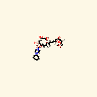 CC[C@@H](OC(C)=O)[C@@H](C)[C@H]1O[C@@H]1C[C@](C)(O)/C=C/C=C(\C)[C@H]1OC(=O)C[C@@H](O)CC[C@](C)(O)[C@H](OC(=O)N2CCN(C3CCCCCC3)CC2)/C=C/[C@@H]1C